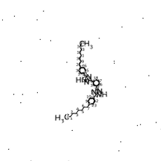 CCCCCCCCc1ccc(-c2nc(-c3cccc(-c4n[nH]c(-c5ccc(CCCCCCCC)cc5)n4)c3)n[nH]2)cc1